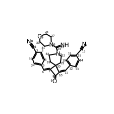 N#Cc1ccc(/C=C2/C(=O)/C(=C/c3ccc(C#N)cc3)C23CCN(C(=N)N2CCOCC2)CC3)cc1